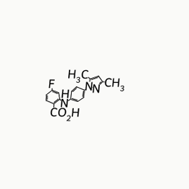 Cc1cc(C)n(-c2ccc(Nc3cc(F)ccc3C(=O)O)cc2)n1